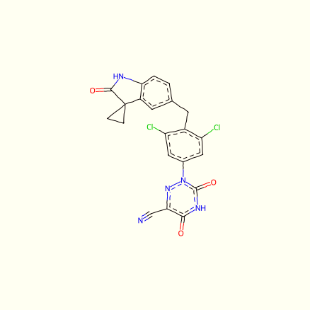 N#Cc1nn(-c2cc(Cl)c(Cc3ccc4c(c3)C3(CC3)C(=O)N4)c(Cl)c2)c(=O)[nH]c1=O